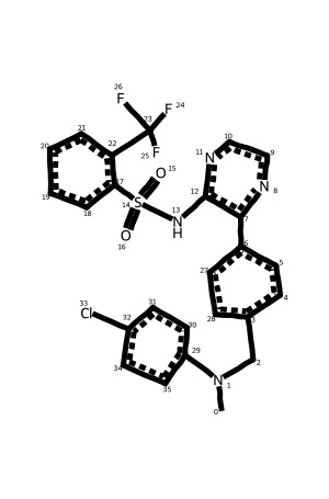 CN(Cc1ccc(-c2nccnc2NS(=O)(=O)c2ccccc2C(F)(F)F)cc1)c1ccc(Cl)cc1